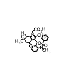 Cc1c(Cc2ccccc2N(C)S(=O)(=O)c2ccccc2)c2c(n1CC(=O)O)CC(C)(C)CC2=O